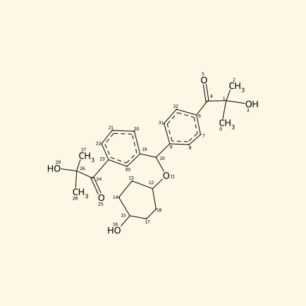 CC(C)(O)C(=O)c1ccc(C(OC2CCC(O)CC2)c2cccc(C(=O)C(C)(C)O)c2)cc1